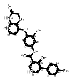 O=C1COc2c(Oc3ccc(NC(=O)c4c[nH]cc(-c5ccc(F)cc5)c4=O)cc3F)ccnc2N1